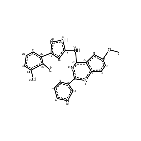 COc1ccc2nc(-c3cccnc3)nc(Nc3cc(-c4cccc(Cl)c4Cl)n[nH]3)c2c1